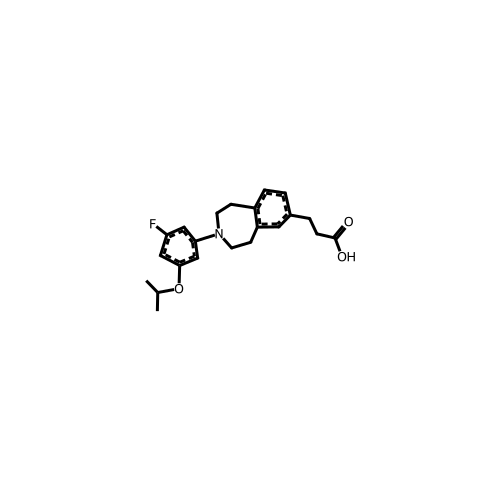 CC(C)Oc1cc(F)cc(N2CCc3ccc(CCC(=O)O)cc3CC2)c1